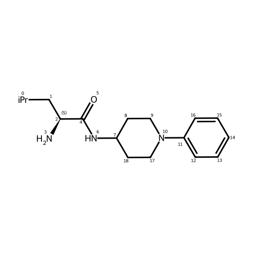 CC(C)C[C@H](N)C(=O)NC1CCN(c2ccccc2)CC1